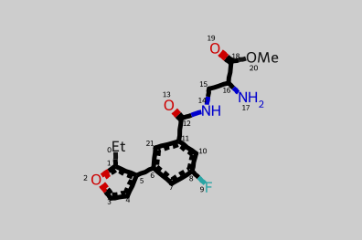 CCc1occc1-c1cc(F)cc(C(=O)NCC(N)C(=O)OC)c1